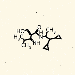 CC(C)C(=N)/C(=C\O)C(=O)NC(C)C(C1CC1)C1CC1